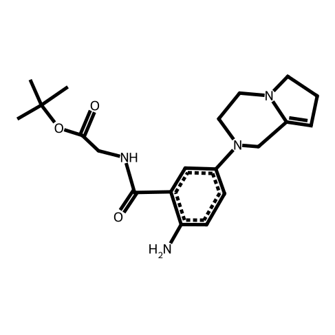 CC(C)(C)OC(=O)CNC(=O)c1cc(N2CCN3CCC=C3C2)ccc1N